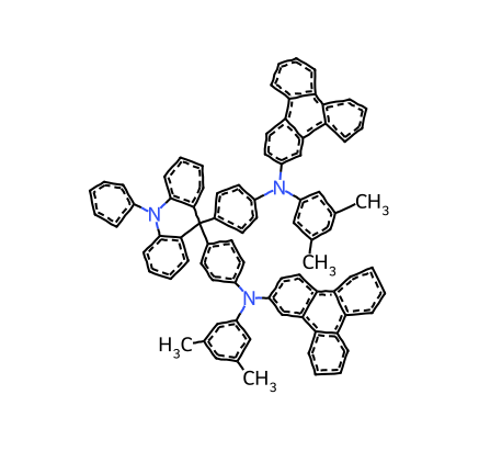 Cc1cc(C)cc(N(c2ccc(C3(c4ccc(N(c5cc(C)cc(C)c5)c5ccc6c7ccccc7c7ccccc7c6c5)cc4)c4ccccc4N(c4ccccc4)c4ccccc43)cc2)c2ccc3c4ccccc4c4ccccc4c3c2)c1